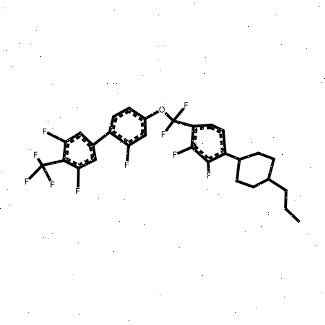 CCCC1CCC(c2ccc(C(F)(F)Oc3ccc(-c4cc(F)c(C(F)(F)F)c(F)c4)c(F)c3)c(F)c2F)CC1